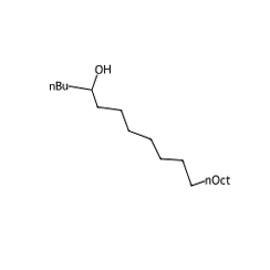 CCCCCCCCCCCCCCCC(O)CCCC